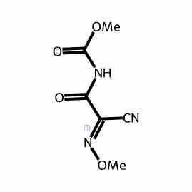 [CH2]OC(=O)NC(=O)/C(C#N)=N/OC